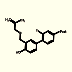 C=C(C)COCc1cc(-c2ccc(CCCCC)cc2F)ccc1O